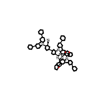 N#Cc1cc(-c2ccc(-c3nc(-c4ccccc4)nc(-c4ccccc4-n4c5ccc(-c6ccccc6)cc5c5cc(-c6ccccc6)ccc54)n3)c(-n3c4ccc(-c5ccccc5)cc4c4cc(-c5ccccc5)ccc43)c2)ccc1-n1c2ccc(-c3ccccc3)cc2c2cc(-c3ccccc3)ccc21